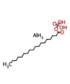 CCCCCCCCCCCCCCCCCC(=O)OP(=O)(O)O.[AlH3]